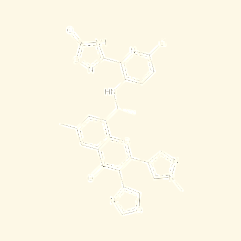 Cc1cc([C@@H](C)Nc2ccc(Cl)nc2-c2noc(=O)[nH]2)c2oc(-c3cnn(C)c3)c(-c3cocn3)c(=O)c2c1